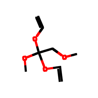 C=COC(COC)(OC)OC=C